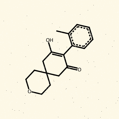 Cc1ccccc1C1=C(O)CC2(CCOCC2)CC1=O